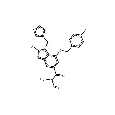 Cc1nc2cc(C(=O)N(C)C)cc(OCc3ccc(F)cc3)c2n1Cc1cscn1